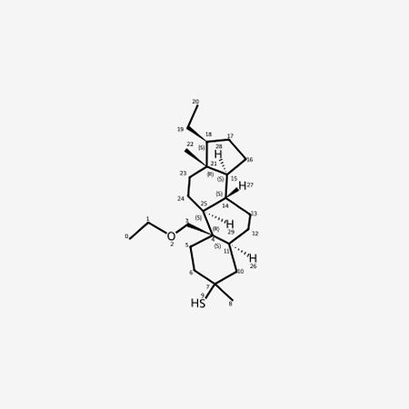 CCOC[C@]12CCC(C)(S)C[C@@H]1CC[C@H]1[C@@H]3CC[C@H](CC)[C@@]3(C)CC[C@@H]12